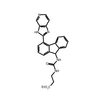 CCOC(=O)CCNC(=O)NC1c2ccccc2-c2c(-c3nc4ccncc4[nH]3)cccc21